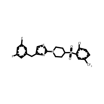 O=S(=O)(c1cc(C(F)(F)F)ccc1Cl)C1CCN(c2nc(Cc3cc(F)cc(F)c3)cs2)CC1